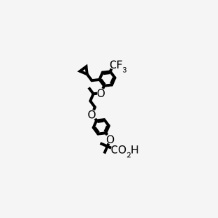 CC(CCOc1ccc(OC(C)(C)C(=O)O)cc1)Oc1ccc(C(F)(F)F)cc1CC1CC1